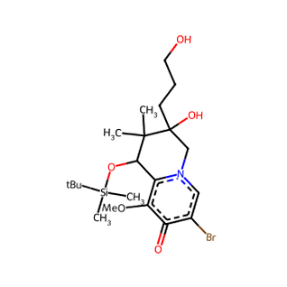 COc1c2n(cc(Br)c1=O)CC(O)(CCCO)C(C)(C)C2O[Si](C)(C)C(C)(C)C